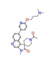 CC(=O)N1CCC2(CC1)C(=O)N(C)c1cnc3ccc(-c4ccc(OCCCN(C)C)nc4)cc3c12